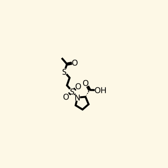 CC(=O)SCCS(=O)(=O)N1CCC[C@H]1C(=O)O